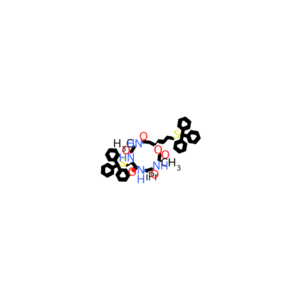 CC(C)[C@H]1NC(=O)[C@@H](CSC(c2ccccc2)(c2ccccc2)c2ccccc2)NC(=O)[C@@H](C)NC(=O)C[C@@H](C=CCCSC(c2ccccc2)(c2ccccc2)c2ccccc2)OC(=O)[C@@H](C)NC1=O